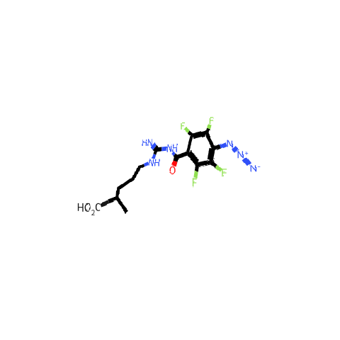 CC(CCCNC(=N)NC(=O)c1c(F)c(F)c(N=[N+]=[N-])c(F)c1F)C(=O)O